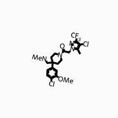 CNCC1(c2ccc(Cl)c(OC)c2)CCN(C(=O)Cn2nc(C(F)(F)F)c(Cl)c2C)CC1